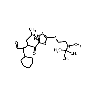 CC(C)CC(C(=O)c1nnc(SCCN(C)C(C)(C)C)o1)N(C=O)C1CCCCC1